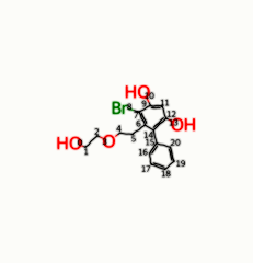 OCCOCCc1c(Br)c(O)cc(O)c1-c1ccccc1